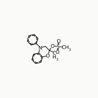 CC1(OS(C)(=O)=O)CN(c2ccccc2)c2ccccc2O1